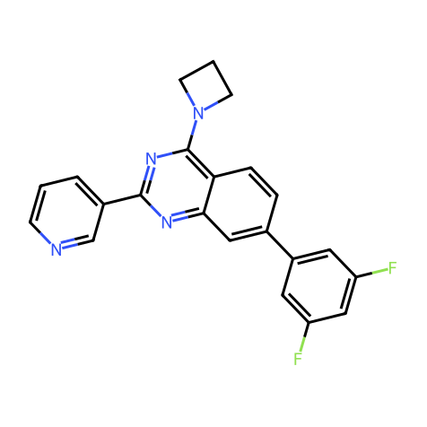 Fc1cc(F)cc(-c2ccc3c(N4CCC4)nc(-c4cccnc4)nc3c2)c1